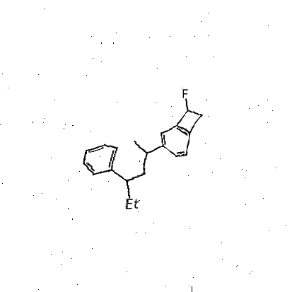 CCC(CC(C)c1ccc2c(c1)C(F)C2)c1ccccc1